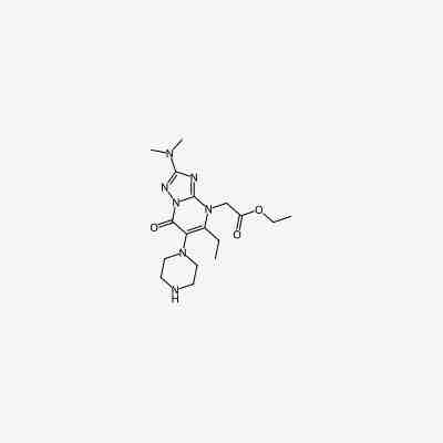 CCOC(=O)Cn1c(CC)c(N2CCNCC2)c(=O)n2nc(N(C)C)nc12